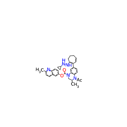 CC(=O)N1c2ccc(C3=C(NNC4CC4)CCCC=C3)cc2N(C(=O)Oc2ccc3nc(C)ccc3c2)C[C@@H]1C